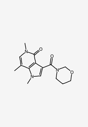 Cc1cn(C)c(=O)c2c(C(=O)N3CCCOC3)cn(C)c12